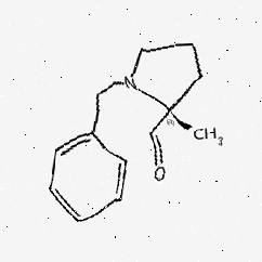 C[C@]1(C=O)CCCN1Cc1ccccc1